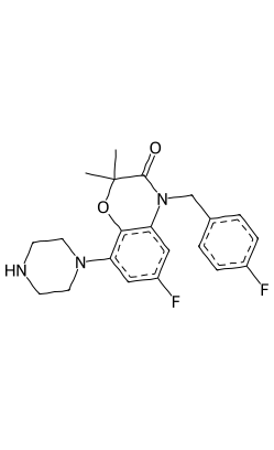 CC1(C)Oc2c(N3CCNCC3)cc(F)cc2N(Cc2ccc(F)cc2)C1=O